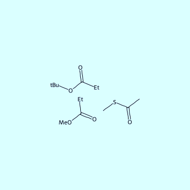 CCC(=O)OC.CCC(=O)OC(C)(C)C.CSC(C)=O